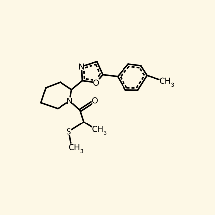 CSC(C)C(=O)N1CCCCC1c1ncc(-c2ccc(C)cc2)o1